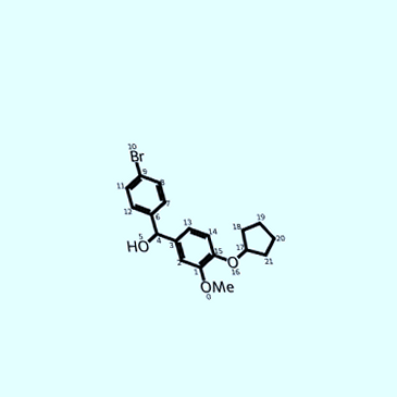 COc1cc(C(O)c2ccc(Br)cc2)ccc1OC1CCCC1